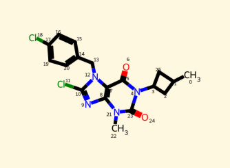 CC1CC(n2c(=O)c3c(nc(Cl)n3Cc3ccc(Cl)cc3)n(C)c2=O)C1